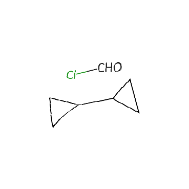 C1CC1C1CC1.O=CCl